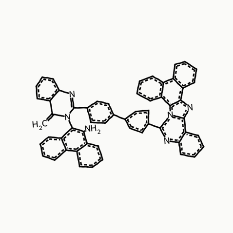 C=C1c2ccccc2N=C(c2ccc(-c3ccc(-c4nc5ccccc5c5nc6c7ccccc7c7ccccc7c6n45)cc3)cc2)N1c1c(N)c2ccccc2c2ccccc12